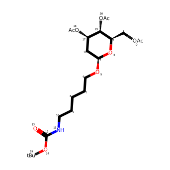 CC(=O)OC[C@H]1O[C@@H](OCCCCCNC(=O)OC(C)(C)C)C[C@@H](OC(C)=O)[C@H]1OC(C)=O